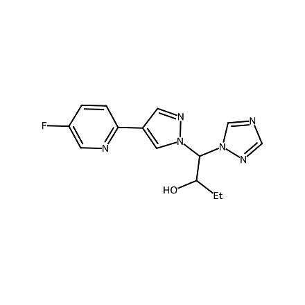 CCC(O)C(n1cncn1)n1cc(-c2ccc(F)cn2)cn1